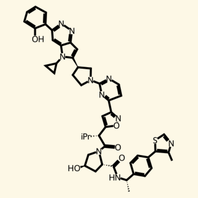 Cc1ncsc1-c1ccc([C@H](C)NC(=O)[C@@H]2C[C@@H](O)CN2C(=O)[C@@H](c2cc(-c3ccnc(N4CC[C@@H](c5cc6nnc(-c7ccccc7O)cc6n5C5CC5)C4)n3)no2)C(C)C)cc1